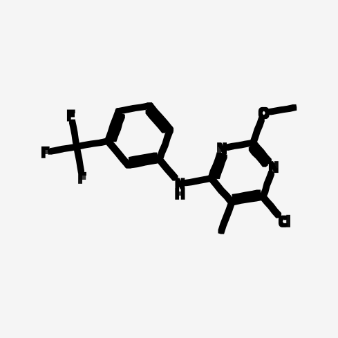 COc1nc(Cl)c(C)c(Nc2cccc(C(F)(F)F)c2)n1